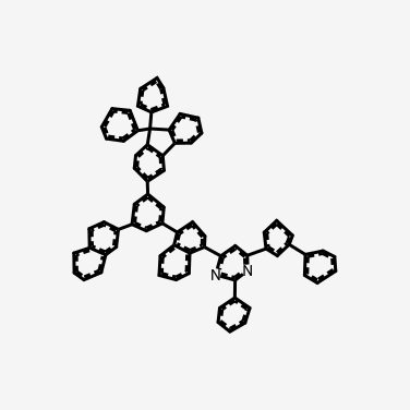 c1ccc(-c2cccc(-c3cc(-c4ccc(-c5cc(-c6ccc7c(c6)-c6ccccc6C7(c6ccccc6)c6ccccc6)cc(-c6ccc7ccccc7c6)c5)c5ccccc45)nc(-c4ccccc4)n3)c2)cc1